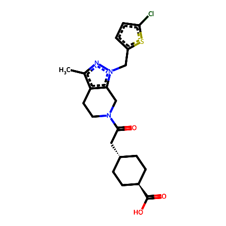 Cc1nn(Cc2ccc(Cl)s2)c2c1CCN(C(=O)C[C@H]1CC[C@H](C(=O)O)CC1)C2